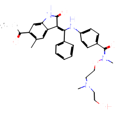 COC(=O)c1cc2c(cc1C)/C(=C(/Nc1ccc(C(=O)N(C)OCCN(C)CCO)cc1)c1ccccc1)C(=O)N2